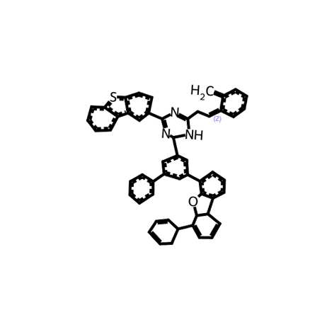 C=c1cccc/c1=C/CC1=NC(c2ccc3sc4ccccc4c3c2)=NC(c2cc(-c3ccccc3)cc(-c3cccc4c3OC3C(C5C=CC=CC5)=CC=CC43)c2)N1